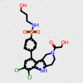 O=C(CO)N1CCc2[nH]c3c(Cl)c(Cl)cc(-c4ccc(S(=O)(=O)NCCCO)cc4)c3c2C1